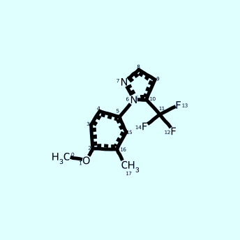 COc1ccc(-n2nccc2C(F)(F)F)cc1C